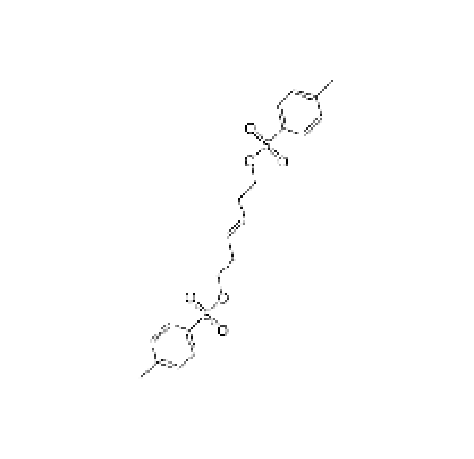 Cc1ccc(S(=O)(=O)OCCC=CCCOS(=O)(=O)c2ccc(C)cc2)cc1